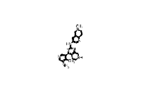 Cc1c(N)cncc1-c1nc(Nc2cnc3c(c2)CN(C)CC3)nc2c1CCNC2